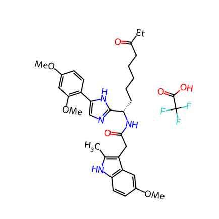 CCC(=O)CCCCC[C@H](NC(=O)Cc1c(C)[nH]c2ccc(OC)cc12)c1ncc(-c2ccc(OC)cc2OC)[nH]1.O=C(O)C(F)(F)F